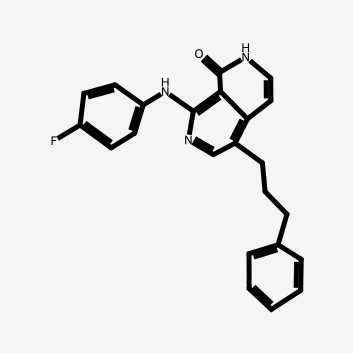 O=c1[nH]ccc2c(CCCc3ccccc3)cnc(Nc3ccc(F)cc3)c12